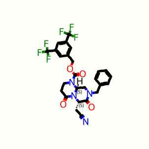 N#CC[C@H]1C(=O)N(Cc2ccccc2)C[C@@H]2N(C(=O)OCc3cc(C(F)(F)F)cc(C(F)(F)F)c3)CCC(=O)N21